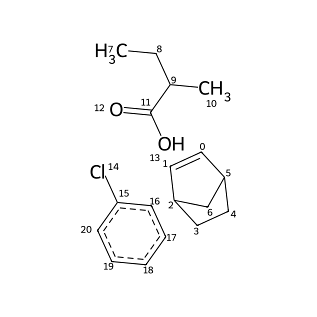 C1=CC2CCC1C2.CCC(C)C(=O)O.Clc1ccccc1